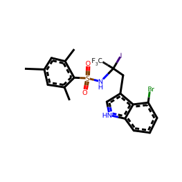 Cc1cc(C)c(S(=O)(=O)NC(I)(Cc2c[nH]c3cccc(Br)c23)C(F)(F)F)c(C)c1